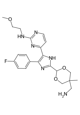 COCCNc1nccc(-c2[nH]c(C3OCC(C)(CN)CO3)nc2-c2ccc(F)cc2)n1